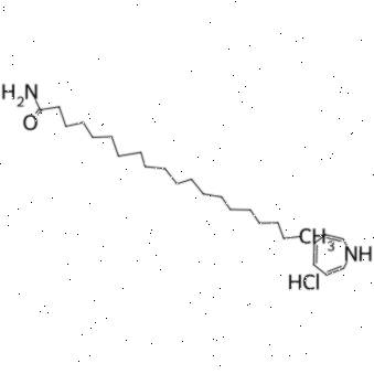 C1=CC=CNC=C1.CCCCCCCCCCCCCCCCCCCC(N)=O.Cl